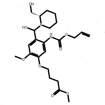 C=CCOC(=O)Nc1cc(OCCCC(=O)OC)c(OC)cc1C(O)N1CCCC[C@H]1CO